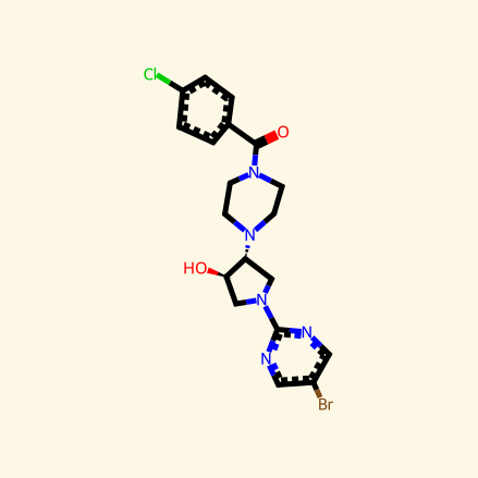 O=C(c1ccc(Cl)cc1)N1CCN([C@@H]2CN(c3ncc(Br)cn3)C[C@H]2O)CC1